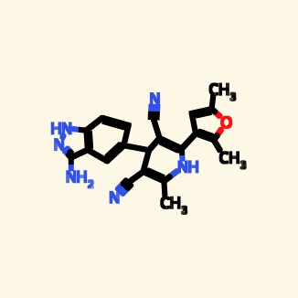 CC1=C(C#N)C(c2ccc3[nH]nc(N)c3c2)C(C#N)=C(c2cc(C)oc2C)N1